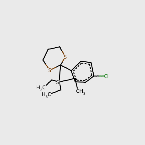 CC[Si](CC)(CC)C1(c2ccc(Cl)cc2)SCCCS1